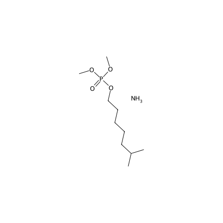 COP(=O)(OC)OCCCCCC(C)C.N